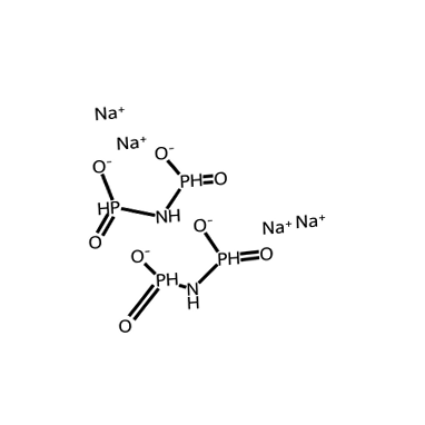 O=[PH]([O-])N[PH](=O)[O-].O=[PH]([O-])N[PH](=O)[O-].[Na+].[Na+].[Na+].[Na+]